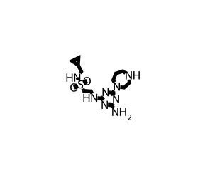 Nc1nc(NCCS(=O)(=O)NCC2CC2)nc(N2CCCNCC2)n1